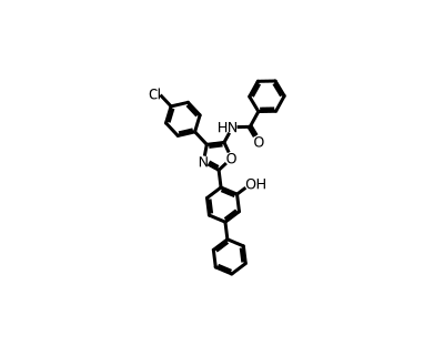 O=C(Nc1oc(-c2ccc(-c3ccccc3)cc2O)nc1-c1ccc(Cl)cc1)c1ccccc1